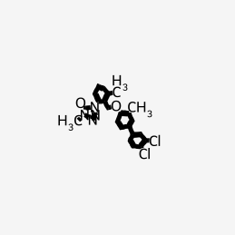 Cc1cc(-c2ccc(Cl)c(Cl)c2)ccc1OCc1c(C)cccc1-n1nnn(C)c1=O